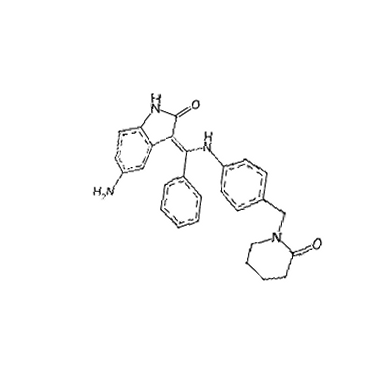 Nc1ccc2c(c1)/C(=C(/Nc1ccc(CN3CCCCC3=O)cc1)c1ccccc1)C(=O)N2